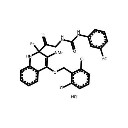 CCC1(C(=O)CNC(=O)Nc2cccc(C(C)=O)c2)Nc2ccccc2C(OCc2c(Cl)cccc2Cl)=C1NC.Cl